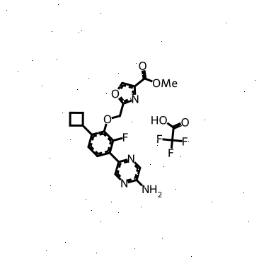 COC(=O)c1coc(COc2c(C3CCC3)ccc(-c3cnc(N)cn3)c2F)n1.O=C(O)C(F)(F)F